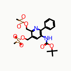 CC(C)(C)OC(=O)Nc1cc(COS(C)(=O)=O)c(COS(C)(=O)=O)nc1-c1ccccc1